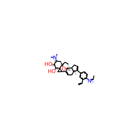 C=Cc1cc(C2=CCC3[C@]2(C)CC=C2C4CC45[C@@H](O)[C@H](O)[C@@H](N(C)C)C[C@]54CC[C@@]23O4)ccc1/N=C\C